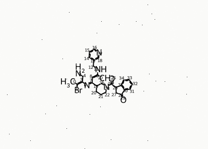 C/C(Br)=C(CN)/N=C(\C=C(/C)NCc1cccnc1)C1CCCN(C(=O)C2CC(=O)c3ccccc32)C1